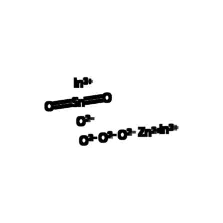 [In+3].[In+3].[O-2].[O-2].[O-2].[O-2].[O]=[Sn]=[O].[Zn+2]